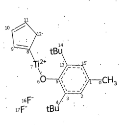 Cc1cc(C(C)(C)C)c([O][Ti+2][C]2=CC=CC2)c(C(C)(C)C)c1.[F-].[F-]